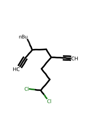 C#CC(CCCC)CC(C#C)CCC(Cl)Cl